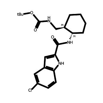 CC(C)(C)OC(=O)NC[C@H]1CCCC[C@@H]1NC(=O)c1cc2cc(Cl)ccc2[nH]1